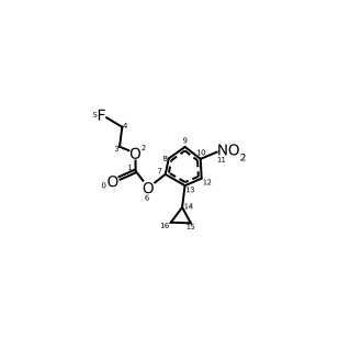 O=C(OCCF)Oc1ccc([N+](=O)[O-])cc1C1CC1